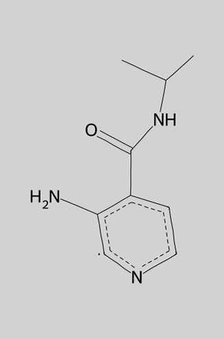 CC(C)NC(=O)c1ccn[c]c1N